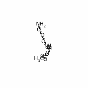 CS(=O)(=O)C1CN(Cc2cn(CCOCCOCCOCCN)nn2)C1